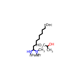 CC(O)C(=O)O.CCCCCCCCCCCCCCCCCCC(NCCCCC)N(C)CCC